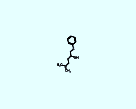 CN(C)CC[C@H]([NH])CSc1ccccc1